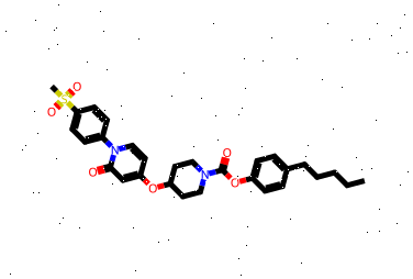 CCCCCc1ccc(OC(=O)N2CCC(Oc3ccn(-c4ccc(S(C)(=O)=O)cc4)c(=O)c3)CC2)cc1